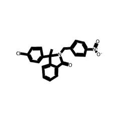 CC1(c2ccc(Cl)cc2)c2ccccc2C(=O)N1Cc1ccc([N+](=O)[O-])cc1